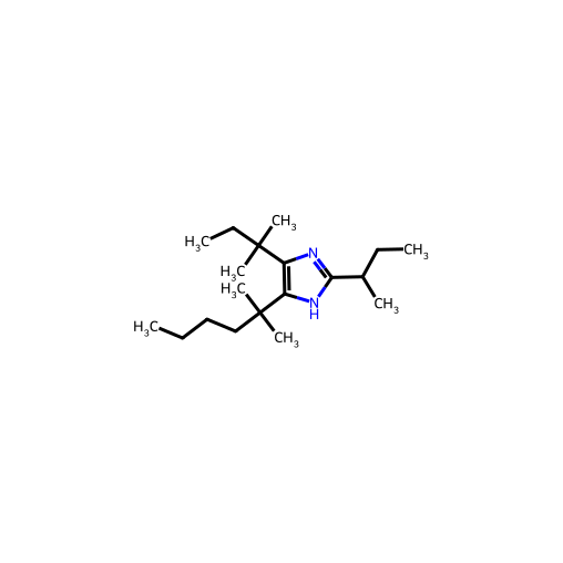 CCCCC(C)(C)c1[nH]c(C(C)CC)nc1C(C)(C)CC